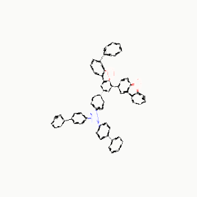 c1ccc(-c2ccc(N(c3ccc(-c4ccccc4)cc3)c3ccc(-c4cc(-c5ccc6oc7ccccc7c6c5)c5oc6c(-c7ccccc7)cccc6c5c4)cc3)cc2)cc1